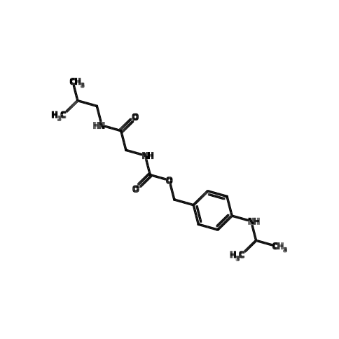 CC(C)CNC(=O)CNC(=O)OCc1ccc(NC(C)C)cc1